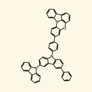 c1ccc(-c2ccc3c(c2)c2cc(-n4c5ccccc5c5ccccc54)ccc2n3-c2ccc(-c3ccc4c(c3)Oc3cccc5c6ccccc6n-4c35)cc2)cc1